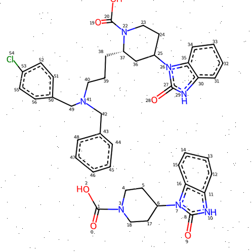 O=C(O)N1CCC(n2c(=O)[nH]c3ccccc32)CC1.O=C(O)N1CCC(n2c(=O)[nH]c3ccccc32)C[C@@H]1CCCN(Cc1ccccc1)Cc1ccc(Cl)cc1